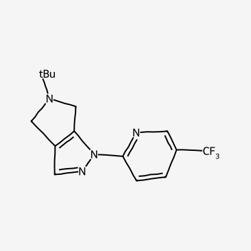 CC(C)(C)N1Cc2cnn(-c3ccc(C(F)(F)F)cn3)c2C1